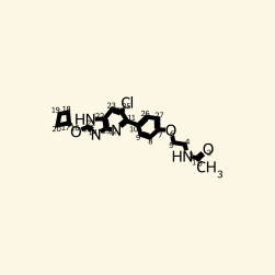 CC(=O)NCCOc1ccc(-c2nc3nc(OC4CCC4)[nH]c3cc2Cl)cc1